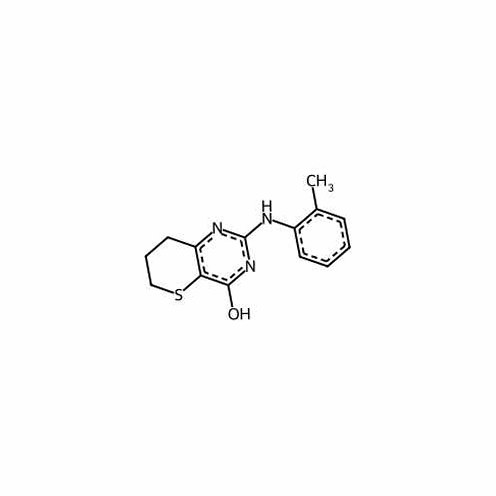 Cc1ccccc1Nc1nc(O)c2c(n1)CCCS2